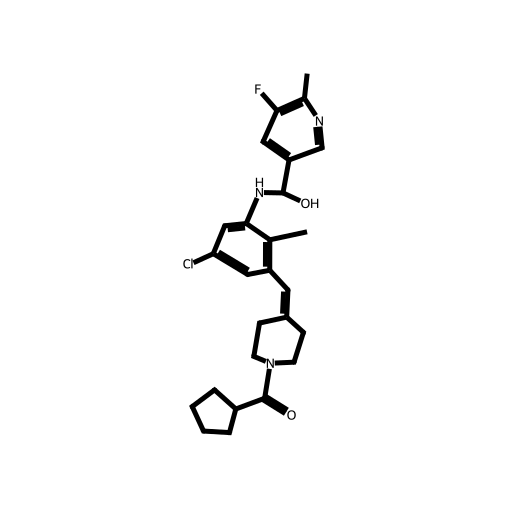 Cc1ncc(C(O)Nc2cc(Cl)cc(C=C3CCN(C(=O)C4CCCC4)CC3)c2C)cc1F